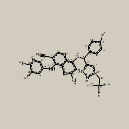 N#Cc1cnc2c(N[C@@H](c3ccc(F)cc3)c3cn(CC(F)(F)F)nn3)cc(Cl)cc2c1Nc1cnc(F)c(F)c1